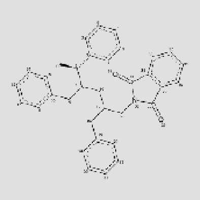 C[C@@H](c1ccccc1)N(Cc1ccccc1)CC(Cc1ccccc1)CN1C(=O)c2ccccc2C1=O